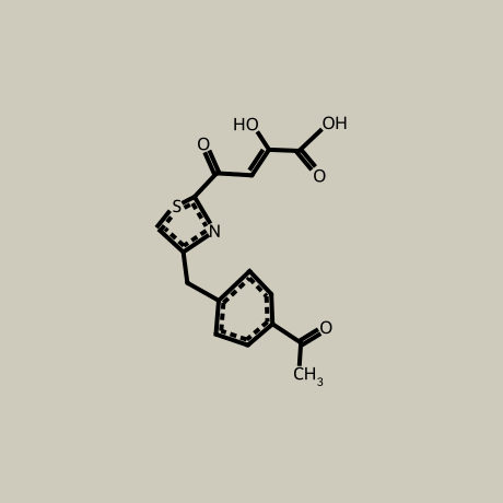 CC(=O)c1ccc(Cc2csc(C(=O)C=C(O)C(=O)O)n2)cc1